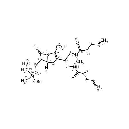 C=CCOC(=O)NC[C@@H](CN(C)C(=O)OCC=C)C1=C(C(=O)O)N2C(=O)[C@H]([C@@H](C)O[Si](C)(C)C(C)(C)C)[C@H]2C1